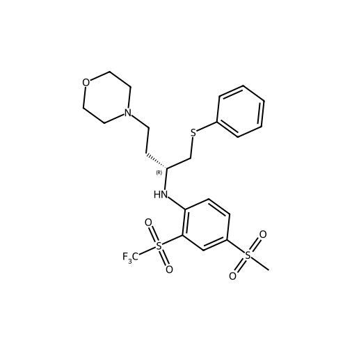 CS(=O)(=O)c1ccc(N[C@H](CCN2CCOCC2)CSc2ccccc2)c(S(=O)(=O)C(F)(F)F)c1